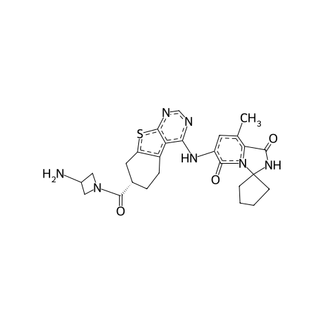 Cc1cc(Nc2ncnc3sc4c(c23)CC[C@H](C(=O)N2CC(N)C2)C4)c(=O)n2c1C(=O)NC21CCCC1